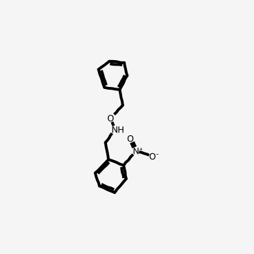 O=[N+]([O-])c1ccccc1CNOCc1ccccc1